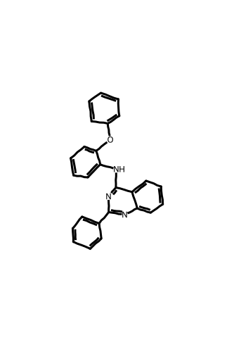 c1ccc(Oc2ccccc2Nc2nc(-c3ccccc3)nc3ccccc23)cc1